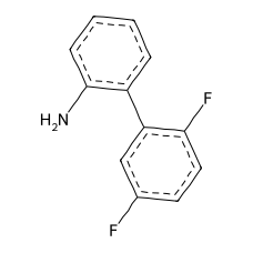 Nc1ccccc1-c1cc(F)ccc1F